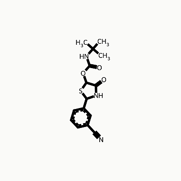 CC(C)(C)NC(=O)OC1SC(c2cccc(C#N)c2)NC1=O